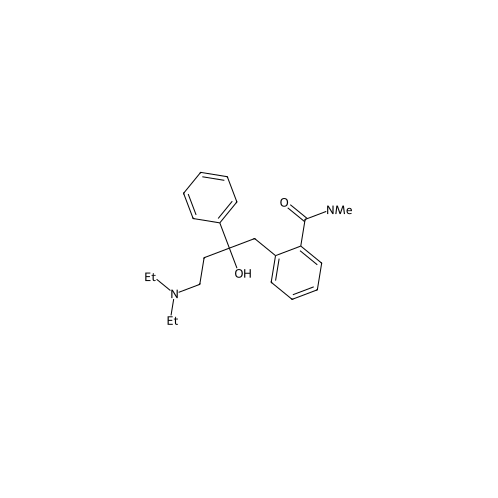 CCN(CC)CCC(O)(Cc1ccccc1C(=O)NC)c1ccccc1